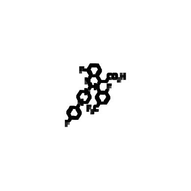 O=C(O)CC1c2cccc(F)c2N=C(N2CCN(c3ccc(F)cc3)CC2)N1c1cc(C(F)(F)F)ccc1F